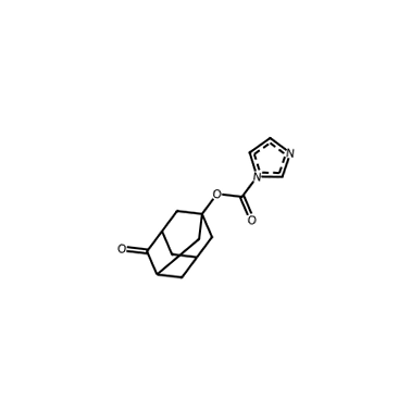 O=C1C2CC3CC1CC(OC(=O)n1ccnc1)(C3)C2